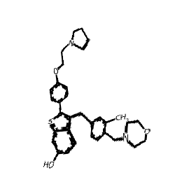 Cc1cc(Cc2c(-c3ccc(OCCN4CCCC4)cc3)sc3cc(O)ccc23)ccc1CN1CCOCC1